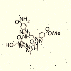 CCn1nc(C)cc1C(=O)Nc1nc2cc(C(=O)OC)ccc2n1C/C=C/Cn1c(NC(=O)c2cc(C)nn2CCO)nc2cc(C(N)=O)ccc21